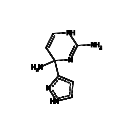 NC1=NC(N)(c2cc[nH]n2)C=CN1